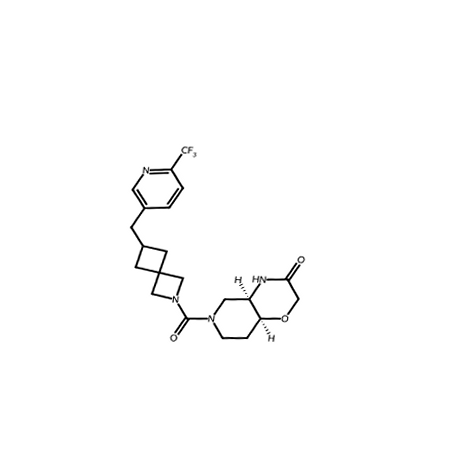 O=C1CO[C@H]2CCN(C(=O)N3CC4(CC(Cc5ccc(C(F)(F)F)nc5)C4)C3)C[C@H]2N1